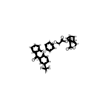 O=C(COc1ccc(-[s+]2c3ccccc3c(=O)c3cc(C(F)(F)F)ccc32)cc1)OC1C2CC3C(=O)OC1C3C2